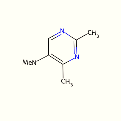 CNc1cnc(C)nc1C